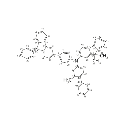 CC1CC(N(c2ccc(-c3ccc4c(c3)c3ccccc3n4-c3ccccc3)cc2)c2ccc3c(c2)C(C)(C)c2ccccc2-3)=CC=C1c1ccccc1